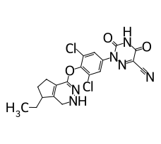 CCC1CCC2=C1CNN=C2Oc1c(Cl)cc(-n2nc(C#N)c(=O)[nH]c2=O)cc1Cl